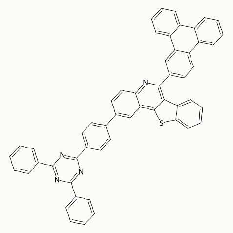 c1ccc(-c2nc(-c3ccccc3)nc(-c3ccc(-c4ccc5nc(-c6ccc7c8ccccc8c8ccccc8c7c6)c6c7ccccc7sc6c5c4)cc3)n2)cc1